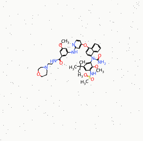 COc1cc(Nc2cc(Oc3ccc(N(C(N)=O)c4cc(C(C)(C)C)cc(NS(C)(=O)=O)c4OC)c4ccccc34)ccn2)cc(C(=O)NCCN2CCCOCC2)c1